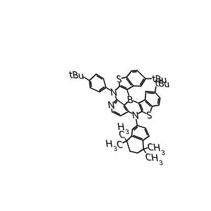 CC(C)(C)c1ccc(N2c3nccc4c3B(c3c(sc5ccc(C(C)(C)C)cc35)N4c3ccc4c(c3)C(C)(C)CCC4(C)C)c3c2sc2ccc(C(C)(C)C)cc32)cc1